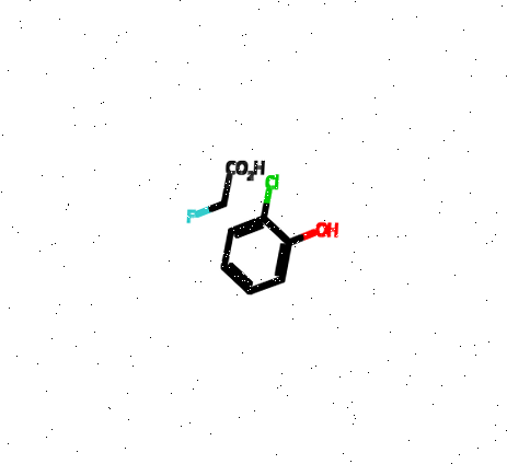 O=C(O)CF.Oc1ccccc1Cl